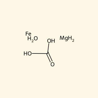 O.O=C(O)O.[Fe].[MgH2]